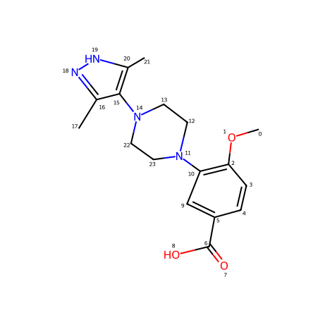 COc1ccc(C(=O)O)cc1N1CCN(c2c(C)n[nH]c2C)CC1